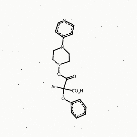 CC(=O)C(Oc1ccccc1)(C(=O)O)C(=O)ON1CCN(c2ccncc2)CC1